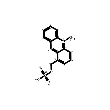 C[n+]1c2ccccc2nc2c(COS(=O)(=O)[O-])cccc21